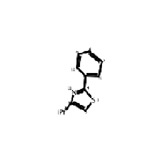 CC(C)c1csc(-c2ccccc2)n1